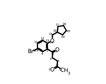 CC(=O)CCC(=O)c1cc(Br)ccc1OCC1CCCC1